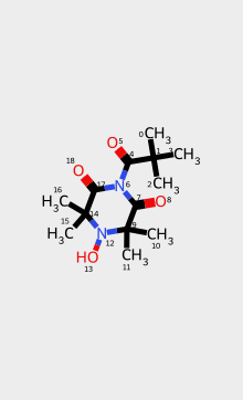 CC(C)(C)C(=O)N1C(=O)C(C)(C)N(O)C(C)(C)C1=O